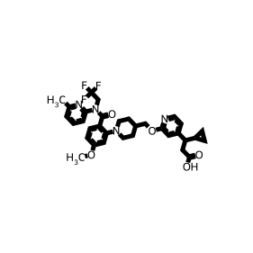 COc1ccc(C(=O)N(CC(F)(F)F)c2cccc(C)n2)c(N2CCC(COc3cc(C(CC(=O)O)C4CC4)ccn3)CC2)c1